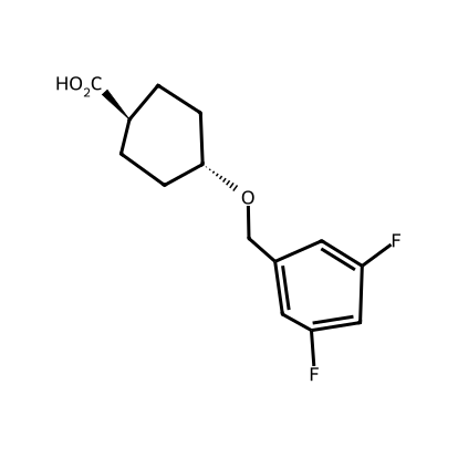 O=C(O)[C@H]1CC[C@H](OCc2cc(F)cc(F)c2)CC1